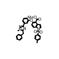 COC(=O)c1c(Oc2cccc(-c3nc(Cc4ccccc4)n(C)n3)c2)ccc2c1ccn2S(=O)(=O)c1ccc(C)cc1